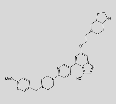 COc1ccc(CN2CCN(c3ccc(-c4cc(OCCN5CCC6NCCC6C5)cn5ncc(C#N)c45)cn3)CC2)cn1